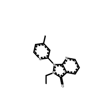 CCn1c(=O)c2cccnc2n1-c1cc(C)ccn1